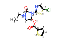 CCN1CC(OC(=O)c2cccs2)N(c2ncc(Cl)s2)C1=O